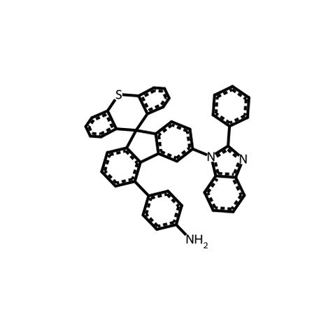 Nc1ccc(-c2cccc3c2-c2cc(-n4c(-c5ccccc5)nc5ccccc54)ccc2C32c3ccccc3Sc3ccccc32)cc1